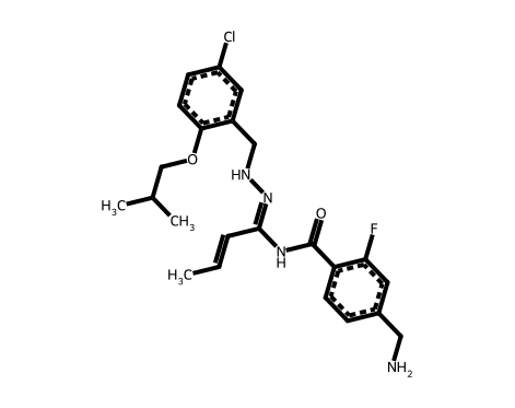 C/C=C/C(=N\NCc1cc(Cl)ccc1OCC(C)C)NC(=O)c1ccc(CN)cc1F